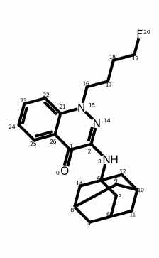 O=c1c(NC23CC4CC(CC(C4)C2)C3)nn(CCCCF)c2ccccc12